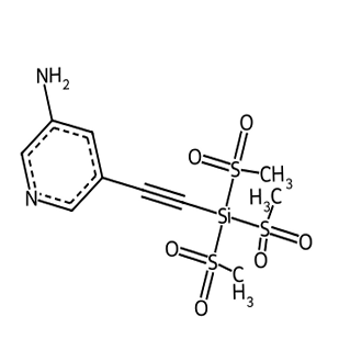 CS(=O)(=O)[Si](C#Cc1cncc(N)c1)(S(C)(=O)=O)S(C)(=O)=O